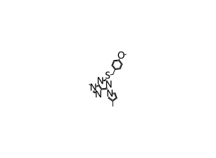 COc1ccc(CSc2nc(-n3ccc(C)c3)c3ncn(C)c3n2)cc1